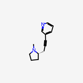 CN1CCC[C@H]1CC#Cc1cccnc1